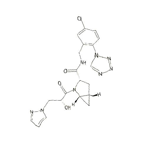 O=C(NCc1cc(Cl)ccc1-n1cnnn1)[C@@H]1C[C@@H]2C[C@@H]2N1C(=O)[C@H](O)Cn1cccn1